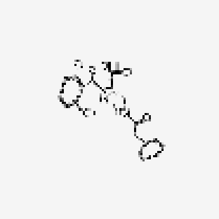 O=C(Cc1ccccc1)NC[C@H](NC(=O)c1c(Cl)cccc1Cl)C(=O)O